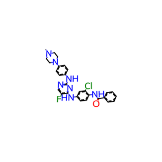 CN1CCN(c2ccc(Nc3ncc(F)c(Nc4ccc(NC(=O)c5ccccc5)c(Cl)c4)n3)cc2)CC1